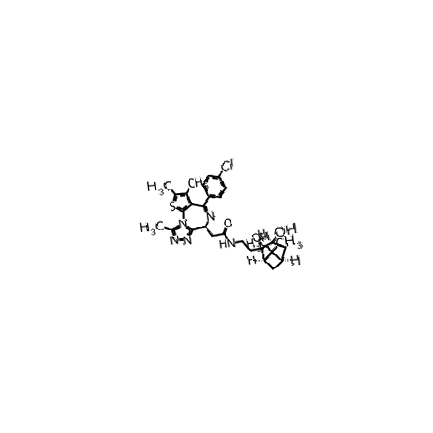 Cc1sc2c(c1C)C(c1ccc(Cl)cc1)=N[C@@H](CC(=O)NCC[C@@]1(O)[C@@H]3C[C@H](C[C@@H]1O)C3(C)C)c1nnc(C)n1-2